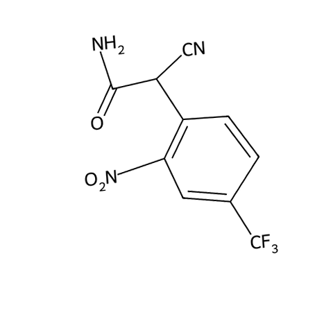 N#CC(C(N)=O)c1ccc(C(F)(F)F)cc1[N+](=O)[O-]